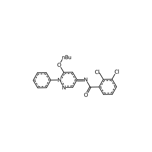 CCCCOc1cc(=NC(=O)c2cccc(Cl)c2Cl)cnn1-c1ccccc1